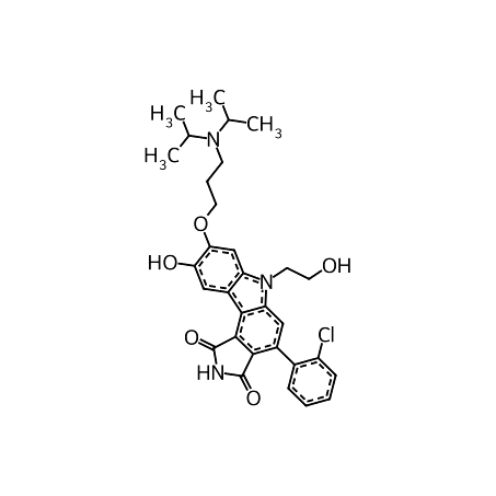 CC(C)N(CCCOc1cc2c(cc1O)c1c3c(c(-c4ccccc4Cl)cc1n2CCO)C(=O)NC3=O)C(C)C